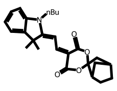 CCCCN1/C(=C/C=C2C(=O)OC3(CC4CCC3C4)OC2=O)C(C)(C)c2ccccc21